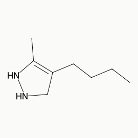 CCCCC1=C(C)NNC1